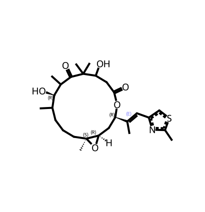 C/C(=C\c1csc(C)n1)[C@H]1C[C@H]2O[C@@]2(C)CCCC(C)[C@@H](O)C(C)C(=O)C(C)(C)C(O)CC(=O)O1